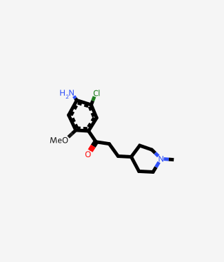 COc1cc(N)c(Cl)cc1C(=O)CCC1CCN(C)CC1